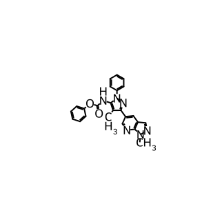 Cc1c(-c2cnc3c(cnn3C)c2)nn(-c2ccccc2)c1NC(=O)Oc1ccccc1